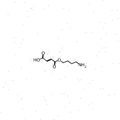 NCCCCOC(=O)C=CC(=O)O